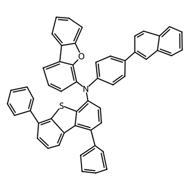 c1ccc(-c2cccc3c2sc2c(N(c4ccc(-c5ccc6ccccc6c5)cc4)c4cccc5c4oc4ccccc45)ccc(-c4ccccc4)c23)cc1